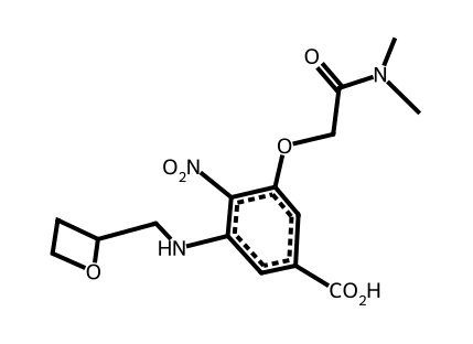 CN(C)C(=O)COc1cc(C(=O)O)cc(NCC2CCO2)c1[N+](=O)[O-]